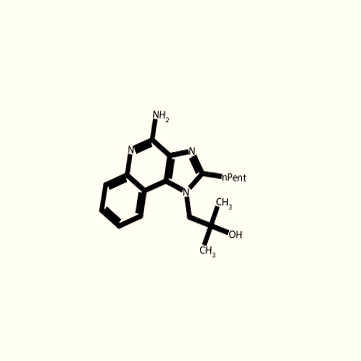 CCCCCc1nc2c(N)nc3ccccc3c2n1CC(C)(C)O